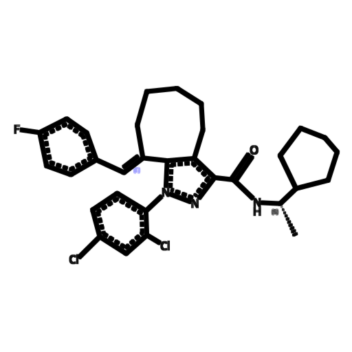 C[C@H](NC(=O)c1nn(-c2ccc(Cl)cc2Cl)c2c1CCCCC/C2=C\c1ccc(F)cc1)C1CCCCC1